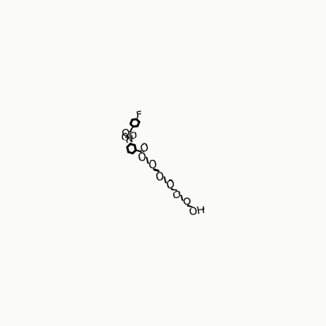 O=C(OCCOCCOCCOCCOCCOCCO)c1cccc(N2OOC(c3ccc(F)cc3)O2)c1